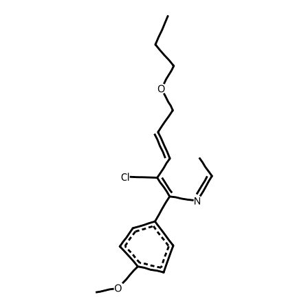 C\C=N/C(=C(Cl)\C=C\COCCC)c1ccc(OC)cc1